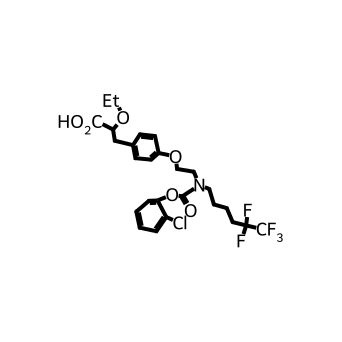 CCOC(Cc1ccc(OCCN(CCCCC(F)(F)C(F)(F)F)C(=O)Oc2ccccc2Cl)cc1)C(=O)O